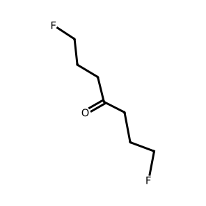 O=C(CCCF)CCCF